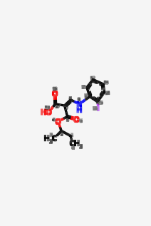 CCC(C)OC(=O)C(=CNc1ccccc1I)C(=O)O